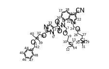 Cn1c(S(=O)(=O)N(COCC[Si](C)(C)C)c2cccc3c(C#N)cn(COCC[Si](C)(C)C)c23)cnc1OCC(C)(C)OCc1ccccc1